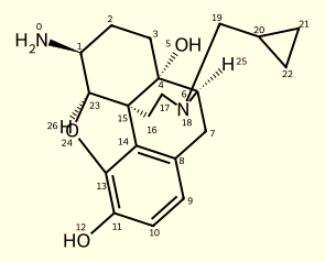 N[C@H]1CC[C@@]2(O)[C@H]3Cc4ccc(O)c5c4[C@@]2(CCN3CC2CC2)[C@H]1O5